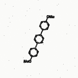 COc1ccc(-c2[c]cc(-c3ccc(OC)cc3)cc2)cc1